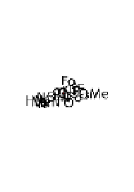 CNC(Cn1c(=O)c(-c2cccc(OC)c2F)c(C)n(Cc2c(F)cccc2C(F)(F)F)c1=O)c1ccccc1OCc1nn[nH]n1